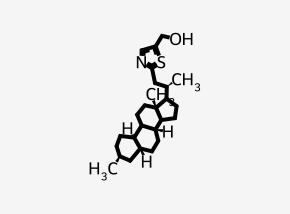 C[C@H]1CC[C@@H]2C3CC[C@@]4(C)C(CCC4[C@@H](C)Cc4ncc(CO)s4)[C@@H]3CC[C@@H]2C1